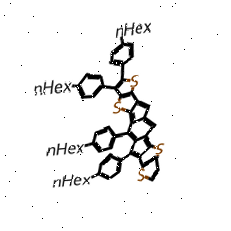 CCCCCCc1ccc(C2=c3c(sc4ccsc34)=c3cc4c(c(-c5ccc(CCCCCC)cc5)c32)=c2sc3c(-c5ccc(CCCCCC)cc5)c(-c5ccc(CCCCCC)cc5)sc3c2=C4)cc1